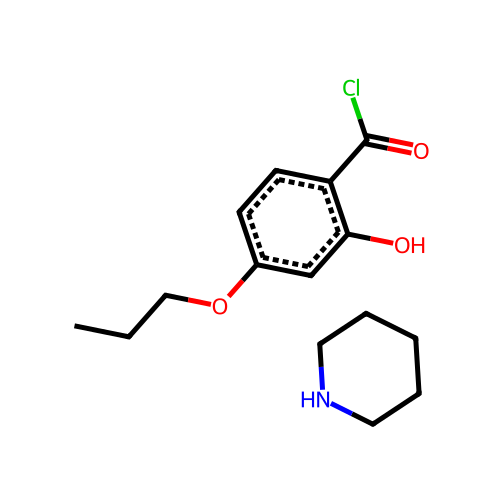 C1CCNCC1.CCCOc1ccc(C(=O)Cl)c(O)c1